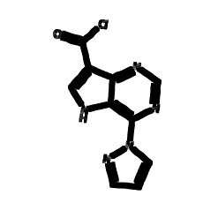 O=C(Cl)c1c[nH]c2c(-n3cccn3)ncnc12